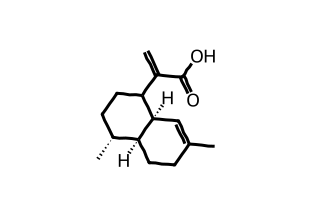 C=C(C(=O)O)C1CC[C@@H](C)[C@@H]2CCC(C)=C[C@H]12